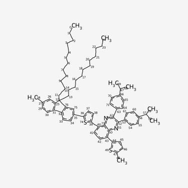 CCCCCCCCCCCCC1(CCCCCCCCCCCC)c2cc(C)ccc2-c2ccc(-c3ccc(-c4ccc(-c5ccc(C)s5)c5nc(-c6ccc(C(C)C)cc6)c(-c6ccc(C(C)C)cc6)nc45)s3)cc21